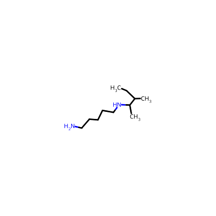 CCC(C)C(C)NCCCCCN